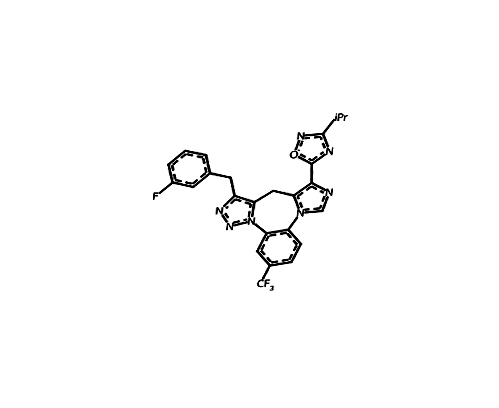 CC(C)c1noc(-c2ncn3c2Cc2c(Cc4cccc(F)c4)nnn2-c2cc(C(F)(F)F)ccc2-3)n1